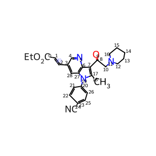 CCOC(=O)/C=C/c1cnc2c(C(=O)CN3CCCCC3)c(C)n(-c3ccc(C#N)cc3)c2c1